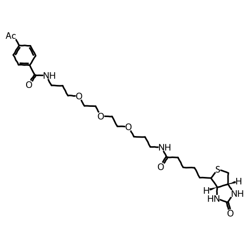 CC(=O)c1ccc(C(=O)NCCCOCCOCCOCCCNC(=O)CCCCC2SC[C@@H]3NC(=O)N[C@H]23)cc1